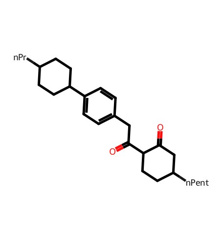 CCCCCC1CCC(C(=O)Cc2ccc(C3CCC(CCC)CC3)cc2)C(=O)C1